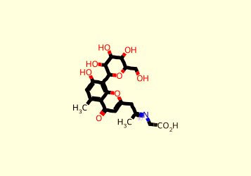 C/C(Cc1cc(=O)c2c(C)cc(O)c(C3OC(CO)C(O)C(O)C3O)c2o1)=N\CC(=O)O